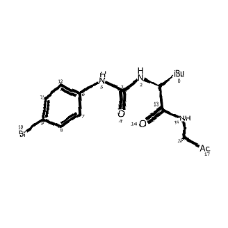 CC[C@H](C)[C@H](NC(=O)Nc1ccc(Br)cc1)C(=O)NCC(C)=O